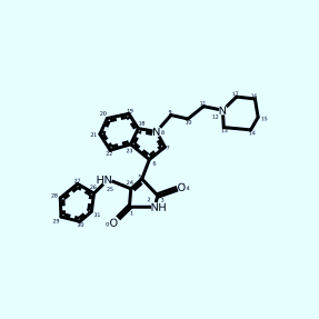 O=C1NC(=O)C(c2cn(CCCN3CCCCC3)c3ccccc23)=C1Nc1ccccc1